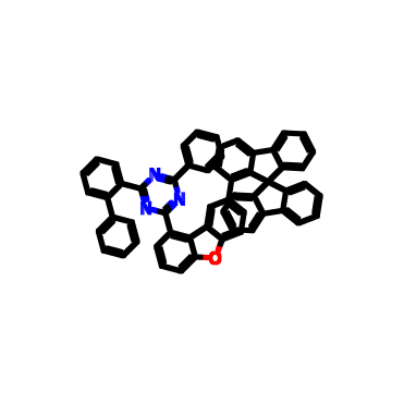 c1ccc(-c2nc(-c3ccccc3-c3ccccc3)nc(-c3cccc4oc5ccc(-c6cccc7c6C6(c8ccccc8-c8ccccc86)c6ccccc6-7)cc5c34)n2)cc1